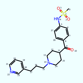 CS(=O)(=O)Nc1ccc(C(=O)C2CCN(CCCc3cccnc3)CC2)cc1